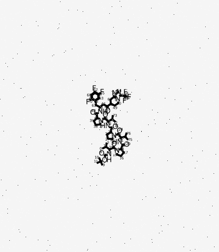 CC(C)C(NC(=O)OC(C)(C)C)C(=O)N1CCCC1C(=O)NC(C(=O)N1CCCC1C(=O)NC(C(=O)N1CCCC1C(=O)NC(CC(=O)C1CCn2c(nnc2C(F)(F)F)C1)Cc1cc(F)c(F)cc1F)C(C)C)C(C)C